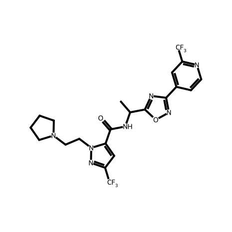 CC(NC(=O)c1cc(C(F)(F)F)nn1CCN1CCCC1)c1nc(-c2ccnc(C(F)(F)F)c2)no1